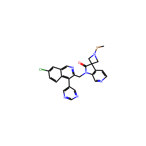 CSN1CC2(C1)C(=O)N(Cc1ncc3cc(Cl)ccc3c1-c1cncnc1)c1cnccc12